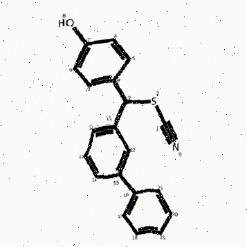 N#CSC(c1ccc(O)cc1)c1cccc(-c2ccccc2)c1